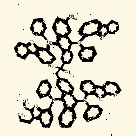 C=Nc1oc2c(N(c3ccccc3)c3c4ccccc4c(N(c4ccccc4)c4cccc5c4oc4ncccc45)c4ccc(CC(C)(C)c5ccc6c(N(c7ccccc7)c7cccc8c7oc7ccccc78)c7cc(C(C)(C)C)ccc7c(N(c7ccccc7)c7cccc8c7oc7ccccc78)c6c5)cc34)cccc2c1/C=C\C